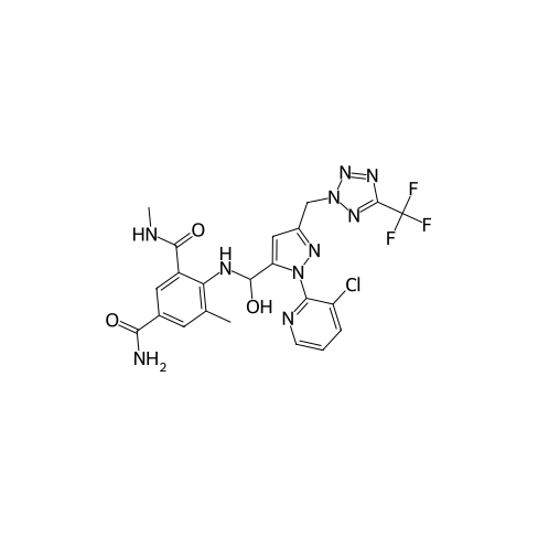 CNC(=O)c1cc(C(N)=O)cc(C)c1NC(O)c1cc(Cn2nnc(C(F)(F)F)n2)nn1-c1ncccc1Cl